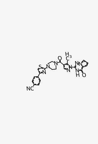 Cc1c(C(=O)N2CCN(c3nc(-c4ccc(C#N)cc4)cs3)CC2)cnn1-c1nn2cccc2c(=O)[nH]1